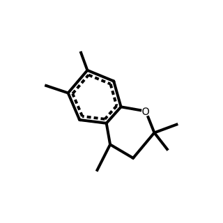 Cc1cc2c(cc1C)C(C)CC(C)(C)O2